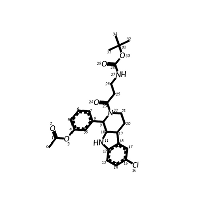 CC(=O)Oc1cccc(C2C3Nc4ccc(Cl)cc4C3CCN2C(=O)CCNC(=O)OC(C)(C)C)c1